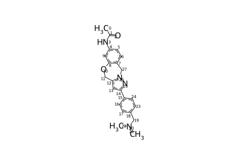 CC(=O)Nc1ccc2c(c1)OCc1cc(-c3ccc(CN(C)C)cc3)nn1C2